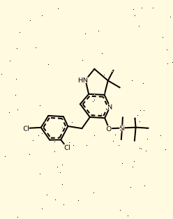 CC1(C)CNc2cc(Cc3ccc(Cl)cc3Cl)c(O[Si](C)(C)C(C)(C)C)nc21